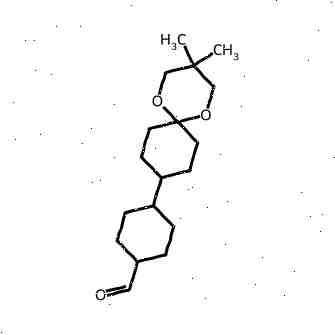 CC1(C)COC2(CCC(C3CCC(C=O)CC3)CC2)OC1